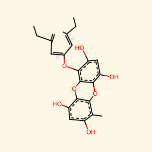 C=C(/C=C(\C=C(/C)CC)Oc1c(O)cc(O)c2c1Oc1c(O)cc(O)c(C)c1O2)CC